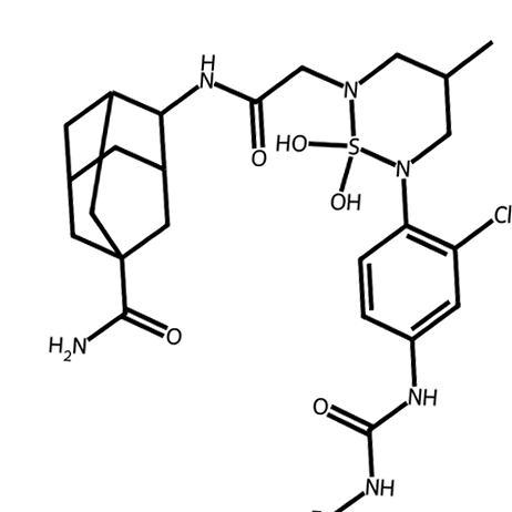 CCNC(=O)Nc1ccc(N2CC(C)CN(CC(=O)NC3C4CC5CC3CC(C(N)=O)(C5)C4)S2(O)O)c(Cl)c1